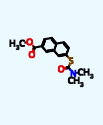 COC(=O)c1ccc2ccc(SC(=O)N(C)C)cc2c1